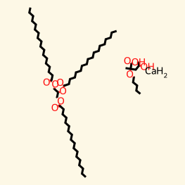 CCCCCCCCCCCCCCCCCC(=O)OCC(COC(=O)CCCCCCCCCCCCCCCCC)OC(=O)CCCCCCCCCCCCCCCCC.CCCCCOC(C)(CC(C)O)C(=O)O.[CaH2]